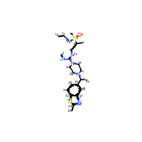 C=N/C(=N\C=C(/C)S(C)(=O)=NCC)N1CCN(C(C)c2ccc3sc(C)nc3c2)CC1